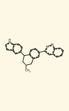 CN1Cc2cc(-c3cc4ccccc4nn3)ccc2C(c2ccc3[nH]ccc3c2)C1